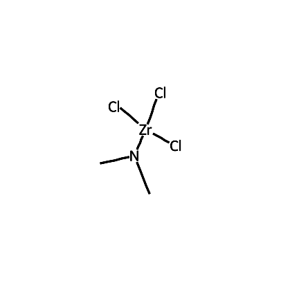 C[N](C)[Zr]([Cl])([Cl])[Cl]